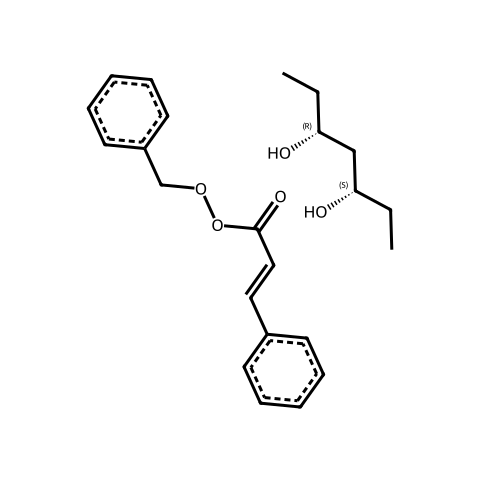 CC[C@@H](O)C[C@@H](O)CC.O=C(C=Cc1ccccc1)OOCc1ccccc1